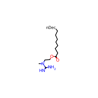 CCCCCCCCCCCCCCCCCC(=O)OCCN(C)C(=N)N